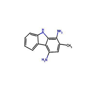 Cc1cc(N)c2c([nH]c3ccccc32)c1N